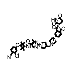 Cc1nc(N2CCC(CN3CCN(c4ccc5c(c4)C(=O)N(C4CCC(=O)NC4=O)C5=O)CC3)CC2)ncc1C(=O)N[C@H]1C(C)(C)[C@H](Oc2ccc(C#N)c(Cl)c2)C1(C)C